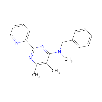 Cc1nc(-c2ccccn2)nc(N(C)Cc2ccccc2)c1C